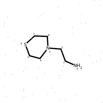 NCCN1CCSCC1